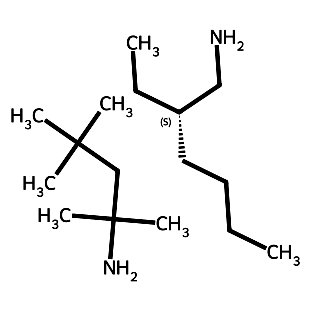 CC(C)(C)CC(C)(C)N.CCCC[C@H](CC)CN